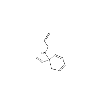 C=CCNC1(C=C)C=CC=CC1